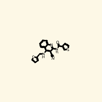 N#Cc1c(NC(=O)c2ccsc2)nc2ccccc2c1NCc1ccco1